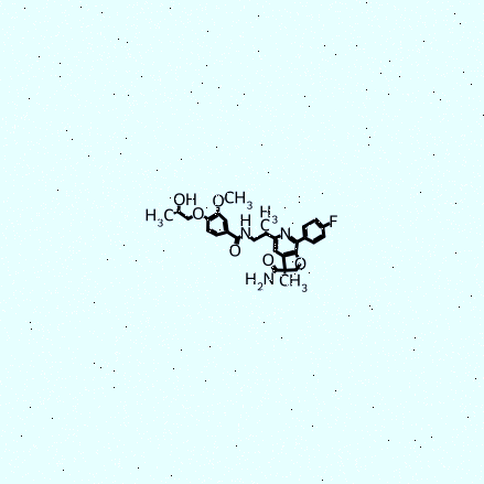 COc1cc(C(=O)NC[C@@H](C)c2cc3c(c(-c4ccc(F)cc4)n2)OC[C@]3(C)C(N)=O)ccc1OC[C@@H](C)O